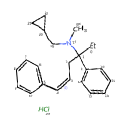 CCC(C/C=C\c1ccccc1)(c1ccccc1)N(C)CC1CC1.Cl